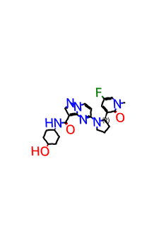 Cn1cc(F)cc([C@H]2CCCN2c2ccn3ncc(C(=O)N[C@H]4CC[C@H](O)CC4)c3n2)c1=O